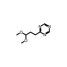 COC(CCc1ncncn1)OC